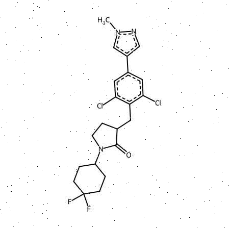 Cn1cc(-c2cc(Cl)c(CC3CCN(C4CCC(F)(F)CC4)C3=O)c(Cl)c2)cn1